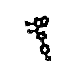 N#Cc1ccc(-n2cc(C(O)[SH]3C(C4CC4)=Nc4cncn43)nn2)cc1